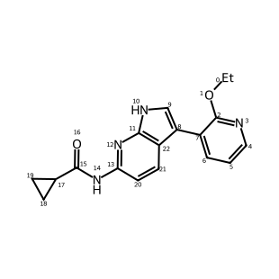 CCOc1ncccc1-c1c[nH]c2nc(NC(=O)C3CC3)ccc12